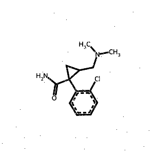 CN(C)CC1CC1(C(N)=O)c1ccccc1Cl